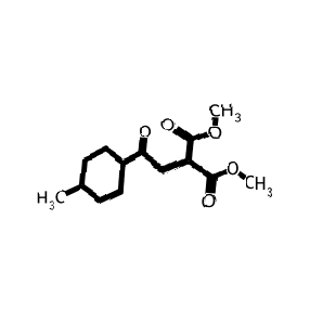 COC(=O)C(CC(=O)C1CCC(C)CC1)C(=O)OC